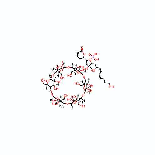 C[C@@](O)(/C=C/[C@@H]1CC=CC(=O)O1)[C@@H](C[C@@H](O)\C=C/C=C\C=C\CO)OP(=O)(O)O.OC[C@H]1O[C@@H]2O[C@H]3[C@H](O)[C@@H](O)[C@@H](O[C@H]4[C@H](O)[C@@H](O)[C@@H](O[C@H]5[C@H](O)[C@@H](O)[C@@H](O[C@H]6[C@H](O)[C@@H](O)[C@@H](O[C@H]7[C@H](O)[C@@H](O)[C@@H](O[C@H]1[C@H](O)[C@H]2O)O[C@@H]7CO)O[C@@H]6CO)O[C@@H]5CO)O[C@@H]4CO)O[C@@H]3CO